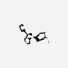 COc1ccc(-n2cc(-c3cccs3)c3ccccc32)cc1Br